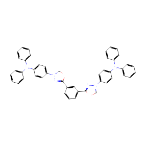 c1ccc(N(c2ccccc2)c2ccc(N3COC(c4cccc(C5=NN(c6ccc(N(c7ccccc7)c7ccccc7)cc6)CO5)c4)=N3)cc2)cc1